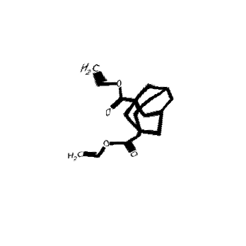 C=COC(=O)C12CC3CC(C1)CC(C(=O)OC=C)(C3)C2